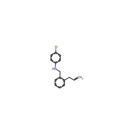 C=CCc1ccccc1CNc1ccc(Br)cc1